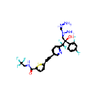 N/N=C\N(N)CC(O)(c1ccc(F)cc1F)C(F)(F)c1ccc(C#Cc2ccc(C(=O)NCC(F)(F)F)s2)cn1